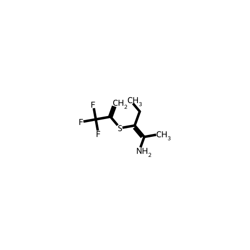 C=C(S/C(CC)=C(/C)N)C(F)(F)F